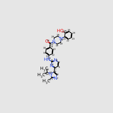 Cc1ncc(-c2ccnc(Nc3ccc(C(=O)N4CCN(c5ccccc5O)CC4)cc3)n2)n1C(C)C